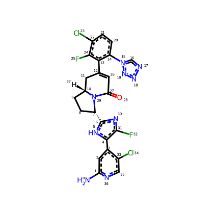 Nc1cc(-c2[nH]c([C@@H]3CC[C@@H]4CC(c5c(-n6cnnn6)ccc(Cl)c5F)=CC(=O)N43)nc2F)c(Cl)cn1